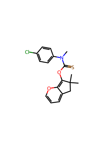 CN(C(=S)OC1=C2OC=CC=C2CC1(C)C)c1ccc(Cl)cc1